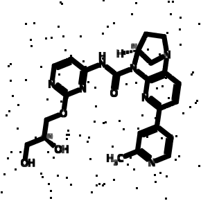 Cc1cc(-c2ccc3c(n2)N(C(=O)Nc2ccnc(OC[C@@H](O)CO)n2)[C@H]2CCN3C2)ccn1